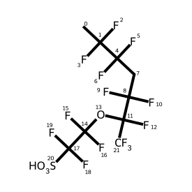 CC(F)(F)C(F)(F)CC(F)(F)C(F)(OC(F)(F)C(F)(F)S(=O)(=O)O)C(F)(F)F